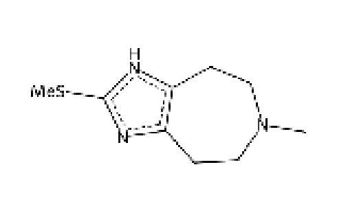 CSc1nc2c([nH]1)CCN(C)CC2